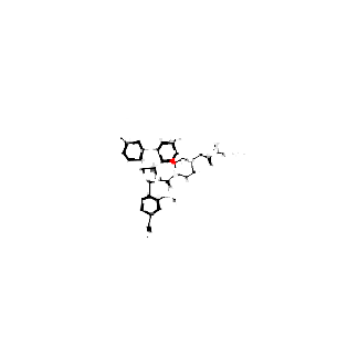 C#Cc1ccc(C2=N[C@@H](c3ccc(Cl)cc3)[C@@H](c3ccc(Cl)cc3)N2C(=O)N2CCN(CC(=O)N(C)OC)CC2)c(OCC)c1.Cl